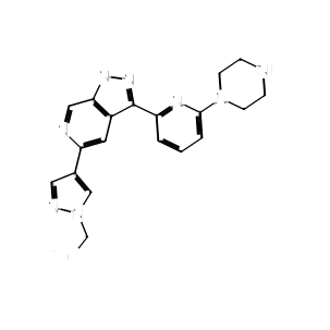 FC(F)(F)Cn1cc(-c2cc3c(-c4cccc(N5CCNCC5)n4)n[nH]c3cn2)cn1